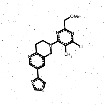 COCc1nc(Cl)c(C)c(N2CCc3ncc(-c4cncs4)cc3C2)n1